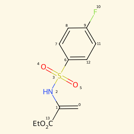 C=C(NS(=O)(=O)c1ccc(F)cc1)C(=O)OCC